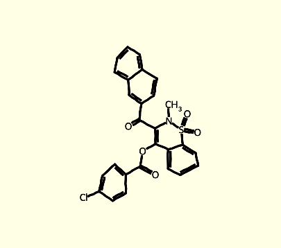 CN1C(C(=O)c2ccc3ccccc3c2)=C(OC(=O)c2ccc(Cl)cc2)c2ccccc2S1(=O)=O